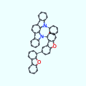 c1ccc(-n2c3ccccc3c3ccc4c5ccccc5n(-c5cccc6oc7ccc(-c8cccc9c8oc8ccccc89)cc7c56)c4c32)cc1